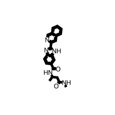 CNC(=O)CC(C)NC(=O)c1ccc2nc(-c3cc4ccccc4cn3)[nH]c2c1